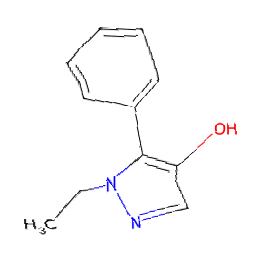 CCn1ncc(O)c1-c1ccccc1